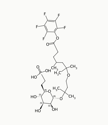 CC(CCC(=O)Oc1c(F)c(F)c(F)c(F)c1F)CC(C)(C)OCCC(C)(C)O[C@H]1O[C@H](CCP(=O)(O)O)[C@@H](O)[C@H](O)[C@@H]1O